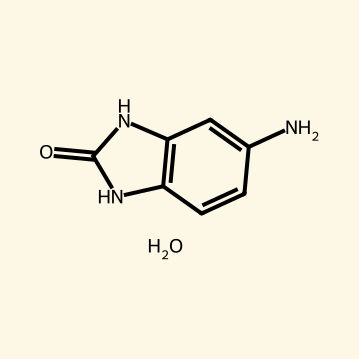 Nc1ccc2[nH]c(=O)[nH]c2c1.O